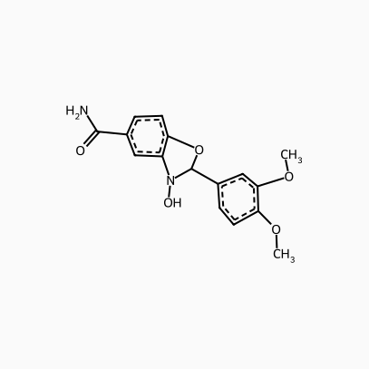 COc1ccc(C2Oc3ccc(C(N)=O)cc3N2O)cc1OC